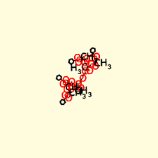 CC(COC(=O)C1(C)COC(c2ccccc2)OC1)(COC(=O)C1(C)COC(c2ccccc2)OC1)C(=O)OCCOCCOC(=O)C(C)(COC(=O)C1(C)COC(c2ccccc2)OC1)COC(=O)C1(C)COC(c2ccccc2)OC1